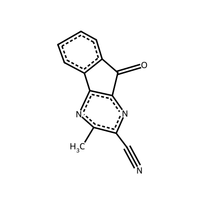 Cc1nc2c(nc1C#N)C(=O)c1ccccc1-2